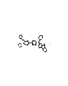 Cc1cc(-c2ccc3c(c2)c2oc4ccccc4c2n3-c2ccccc2)ccc1N(c1ccccc1)c1ccc2c(c1)C(C)(C)c1ccccc1-2